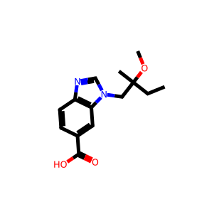 CCC(C)(Cn1cnc2ccc(C(=O)O)cc21)OC